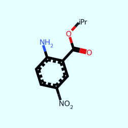 CC(C)OC(=O)c1cc([N+](=O)[O-])ccc1N